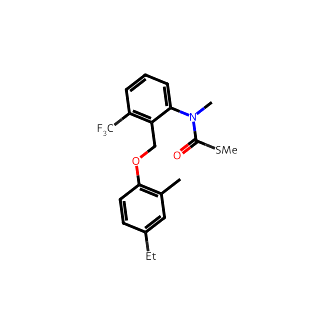 CCc1ccc(OCc2c(N(C)C(=O)SC)cccc2C(F)(F)F)c(C)c1